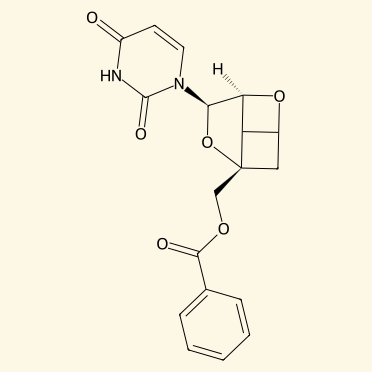 O=C(OC[C@]12CC3O[C@@H](C31)[C@H](n1ccc(=O)[nH]c1=O)O2)c1ccccc1